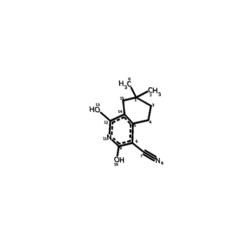 CC1(C)CCc2c(C#N)c(O)nc(O)c2C1